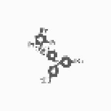 CC(C)c1cc(C(C)C)c(S(=O)(=O)Oc2ccc([S+](c3ccc(C(C)(C)C)cc3)c3ccc(C(C)(C)C)cc3)cc2)c(C(C)C)c1